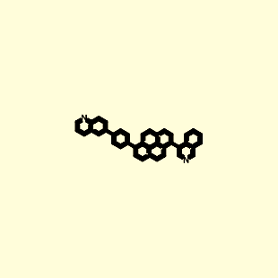 c1cnc2ccc(-c3ccc(-c4ccc5ccc6c(-c7cncc8ccccc78)ccc7ccc4c5c76)cc3)cc2c1